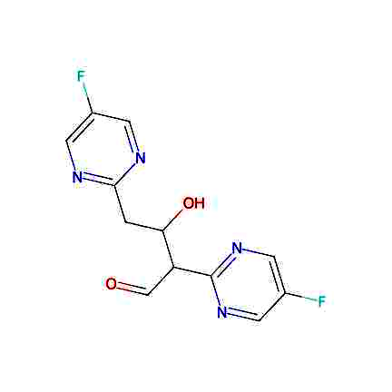 O=CC(c1ncc(F)cn1)C(O)Cc1ncc(F)cn1